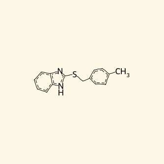 Cc1ccc(CSc2nc3ccccc3[nH]2)cc1